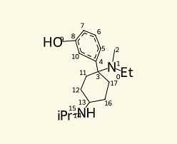 CCN(C)C1(c2cccc(O)c2)CCC(NC(C)C)CC1